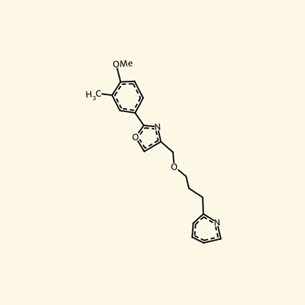 COc1ccc(-c2nc(COCCCc3ccccn3)co2)cc1C